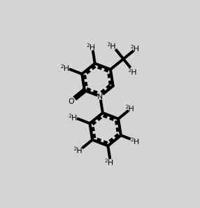 [2H]c1c([2H])c([2H])c(-n2cc(C([2H])([2H])[2H])c([2H])c([2H])c2=O)c([2H])c1[2H]